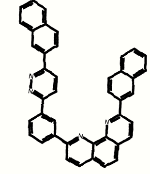 c1cc(-c2ccc(-c3ccc4ccccc4c3)nn2)cc(-c2ccc3ccc4ccc(-c5ccc6ccccc6c5)nc4c3n2)c1